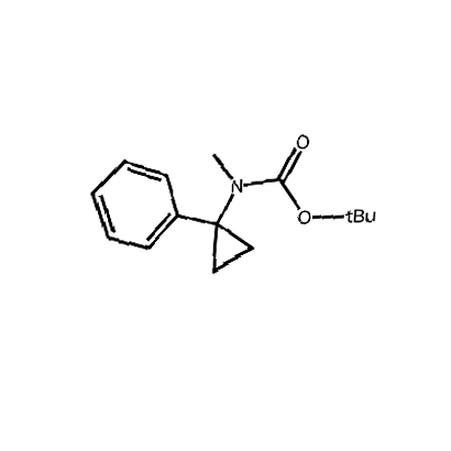 CN(C(=O)OC(C)(C)C)C1(c2ccccc2)CC1